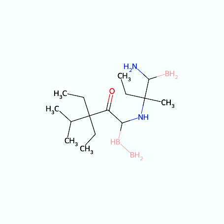 BBC(NC(C)(CC)C(B)N)C(=O)C(CC)(CC)C(C)C